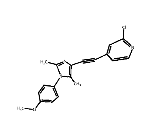 COc1ccc(-n2c(C)nc(C#Cc3ccnc(Cl)c3)c2C)cc1